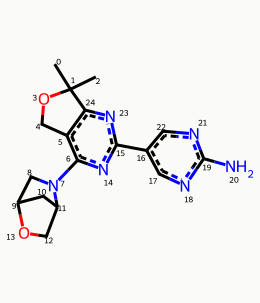 CC1(C)OCc2c(N3CC4CC3CO4)nc(-c3cnc(N)nc3)nc21